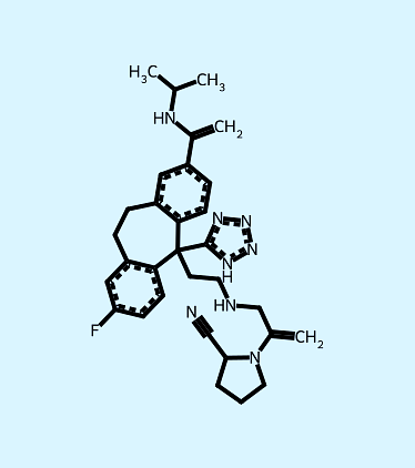 C=C(NC(C)C)c1ccc2c(c1)CCc1cc(F)ccc1C2(CCNCC(=C)N1CCCC1C#N)c1nnn[nH]1